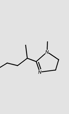 CCCC(C)C1=NCCN1C